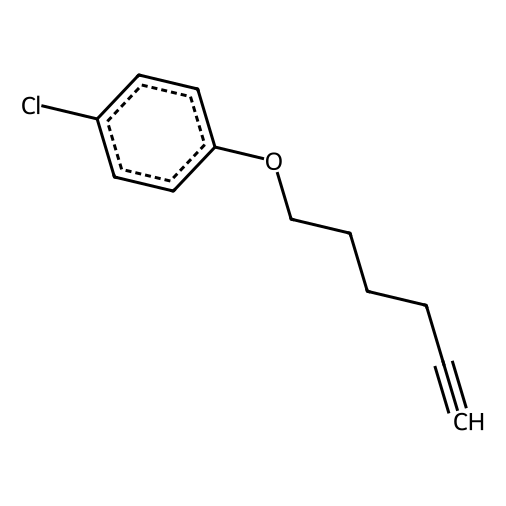 C#CCCCCOc1ccc(Cl)cc1